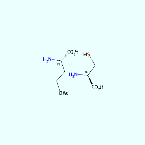 CC(=O)OCC[C@H](N)C(=O)O.N[C@@H](CS)C(=O)O